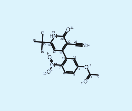 CC(=O)Oc1ccc([N+](=O)[O-])c(-c2cc(C(C)(C)C)[nH]c(=O)c2C#N)c1